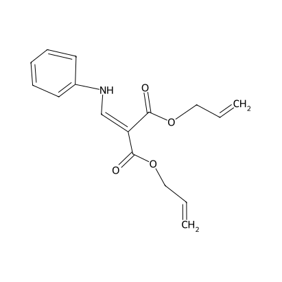 C=CCOC(=O)C(=CNc1ccccc1)C(=O)OCC=C